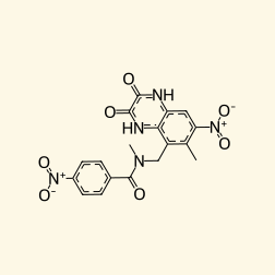 Cc1c([N+](=O)[O-])cc2[nH]c(=O)c(=O)[nH]c2c1CN(C)C(=O)c1ccc([N+](=O)[O-])cc1